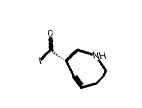 O=C(I)[C@H]1C=CCCNC1